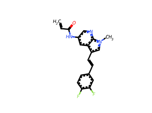 C=CC(=O)Nc1cnc2c(c1)c(/C=C/c1ccc(F)c(F)c1)cn2C